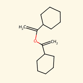 C=C(OC(=C)C1CCCCC1)C1CCCCC1